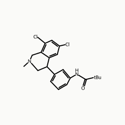 CN1Cc2c(Cl)cc(Cl)cc2C(c2cccc(NC(=O)C(C)(C)C)c2)C1